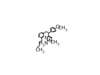 C=CCCCc1cccc(CC(c2ccc(OC)cc2)c2cn(C)c(N)n2)c1